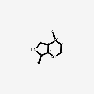 CC1NCC2C1OCCN2C